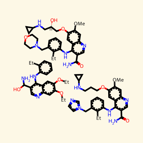 CCOc1cc2ncc(C(N)O)c(Nc3ccccc3CC)c2cc1OCC.CCc1c(CN2CCOCC2)cccc1Nc1c(C(N)=O)cnc2cc(OC)c(OC[C@@H](O)CNC3CC3)cc12.CCc1c(Cn2ccnc2)cccc1Nc1c(C(N)=O)cnc2cc(OC)c(OCCCNC3CC3)cc12